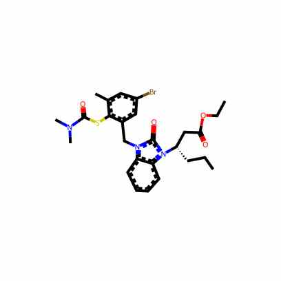 CCC[C@@H](CC(=O)OCC)n1c(=O)n(Cc2cc(Br)cc(C)c2SC(=O)N(C)C)c2ccccc21